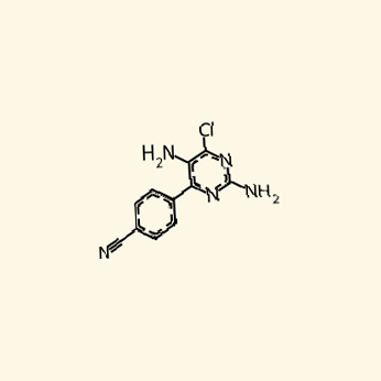 N#Cc1ccc(-c2nc(N)nc(Cl)c2N)cc1